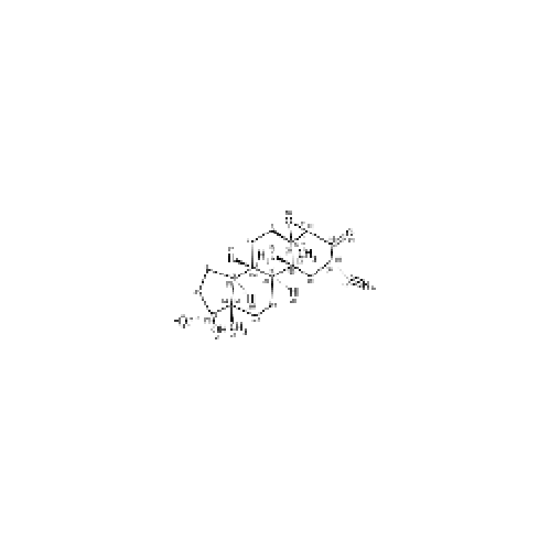 C[C@]1(O)CC[C@H]2[C@@H]3CC[C@@]45O[C@@]4(C)C(=O)[C@H](C#N)C[C@]5(C)[C@H]3CC[C@@]21C